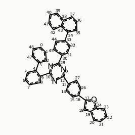 c1ccc(-c2ccccc2-c2nc(-c3ccc(-c4cc5ccccc5o4)cc3)nc(-c3ccc(-c4cccc5ccccc45)cc3)n2)cc1